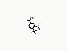 CC(C)(C)c1ccc(C(=O)O)cc1[N+](=O)[O-]